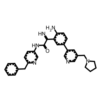 N=C(C(=O)Nc1ccc(Cc2ccccc2)nc1)c1cc(-c2cncc(CN3CCCC3)c2)ccc1N